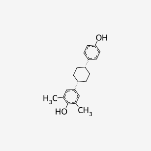 Cc1cc([C@H]2CC[C@@H](c3ccc(O)cc3)CC2)cc(C)c1O